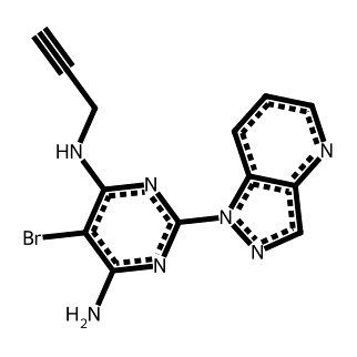 C#CCNc1nc(-n2ncc3ncccc32)nc(N)c1Br